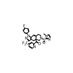 Cn1ccnc1[S+]([O-])N1CCC2=Cc3c(cnn3-c3ccc(F)cc3)CC2(C(=O)c2cc(C(F)(F)F)ccn2)C1